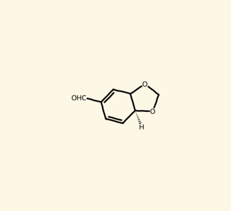 O=CC1=CC2OCO[C@H]2C=C1